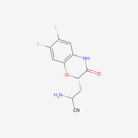 N#CC(N)C[C@@H]1Oc2cc(F)c(F)cc2NC1=O